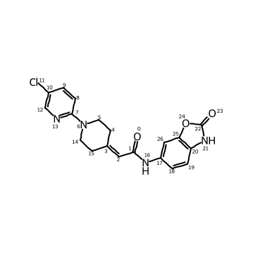 O=C(C=C1CCN(c2ccc(Cl)cn2)CC1)Nc1ccc2[nH]c(=O)oc2c1